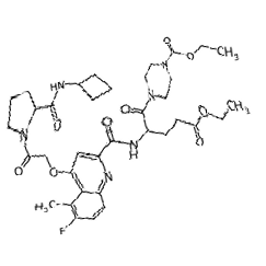 CCOC(=O)CCC(NC(=O)c1cc(OCC(=O)N2CCCC2C(=O)NC2CCC2)c2c(C)c(F)ccc2n1)C(=O)N1CCN(C(=O)OCC)CC1